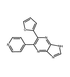 c1coc(-c2nc3[nH]cnc3nc2-c2ccncc2)c1